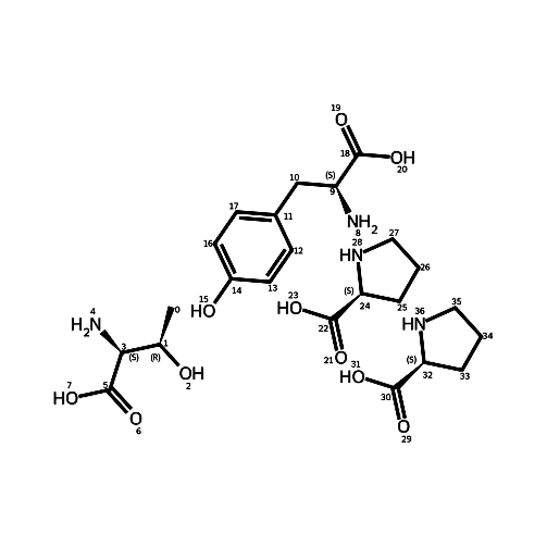 C[C@@H](O)[C@H](N)C(=O)O.N[C@@H](Cc1ccc(O)cc1)C(=O)O.O=C(O)[C@@H]1CCCN1.O=C(O)[C@@H]1CCCN1